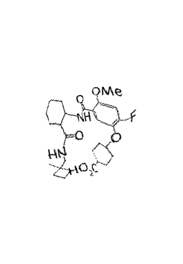 COc1cc(F)c(OC2CCC(C(=O)O)CC2)cc1C(=O)NC1CCCCC1C(=O)NCC1(C)CCC1